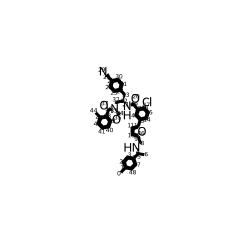 Cc1ccc(C(C)NCc2ccc(-c3ccc(Cl)c(C(=O)N[C@H](Cc4ccc(C#N)cc4)CN(C=O)C(=O)c4ccccc4C)c3)o2)cc1